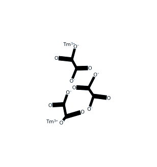 O=C([O-])C(=O)[O-].O=C([O-])C(=O)[O-].O=C([O-])C(=O)[O-].[Tm+3].[Tm+3]